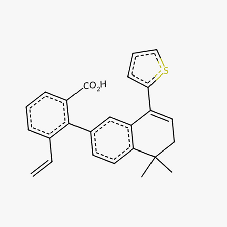 C=Cc1cccc(C(=O)O)c1-c1ccc2c(c1)C(c1cccs1)=CCC2(C)C